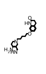 N=CC1=C(N)CCN(CCCCCOc2ccc3c(c2)NC(=O)CC3)C1